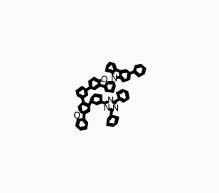 c1ccc(-c2ccc3c(c2)c2ccccc2n3-c2cccc3c2oc2ccc(-c4cccc(-c5cc6oc7ccccc7c6cc5-c5cccc(-c6nc(-c7ccccc7)nc(-c7ccccc7)n6)c5)c4)cc23)cc1